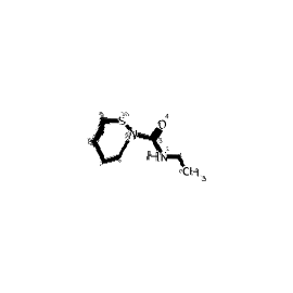 CCNC(=O)N1CCCCS1